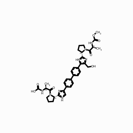 COC(=O)N[C@@H](C)C(=O)N1CCC[C@H]1c1nc(CO)c(-c2ccc(-c3ccc(-c4c[nH]c([C@@H]5CCCN5C(=O)[C@H](C)NC(=O)O)n4)cc3)cc2)[nH]1